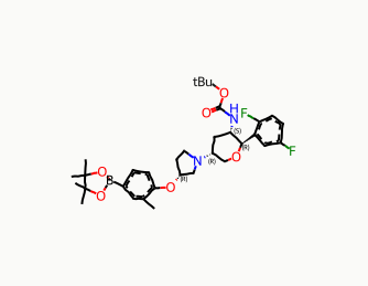 Cc1cc(B2OC(C)(C)C(C)(C)O2)ccc1O[C@@H]1CCN([C@H]2CO[C@H](c3cc(F)ccc3F)[C@@H](NC(=O)OC(C)(C)C)C2)C1